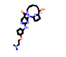 CN(C)CCOc1cccc(Nc2ncc3c(=O)n4n(c3n2)-c2cccc(n2)[C@](C)(O)CC/C=C\C4)c1